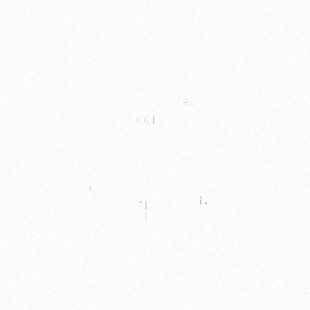 CCC1(O)C(=O)Nc2nccc(Br)c21